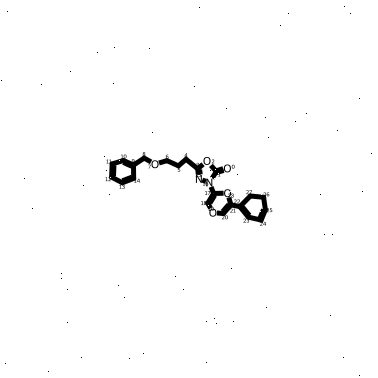 O=c1oc(CCCOCc2ccccc2)nn1C1=COC=C(C2=CC=CCC2)O1